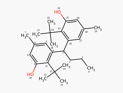 CCCC(c1[c]c(C)cc(O)c1C(C)(C)C)c1[c]c(C)cc(O)c1C(C)(C)C